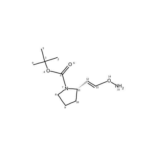 CC(C)(C)OC(=O)N1CCC[C@H]1/C=C/ON